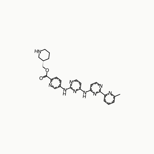 Cc1cccc(-c2nccc(Nc3ccnc(Nc4ccc(C(=O)OC[C@H]5CCCNC5)nc4)n3)n2)n1